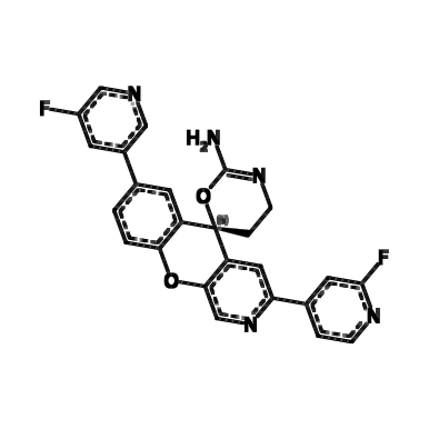 NC1=NCC[C@]2(O1)c1cc(-c3cncc(F)c3)ccc1Oc1cnc(-c3ccnc(F)c3)cc12